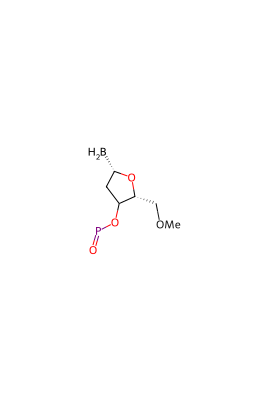 B[C@H]1CC(OP=O)[C@@H](COC)O1